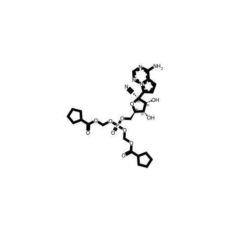 N#C[C@@]1(c2ccc3c(N)ncnn23)O[C@H](COP(=O)(OCOC(=O)C2CCCC2)OCOC(=O)C2CCCC2)[C@@H](O)[C@H]1O